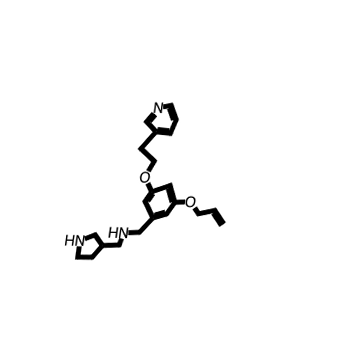 C=CCOc1cc(CNCC2CCNC2)cc(OCCc2cccnc2)c1